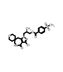 CCc1nn(C[C@@H](C)COC(=O)c2ccc(S(C)(=O)=O)cc2)c2c1C(=O)NCC1(CCOCC1)C2